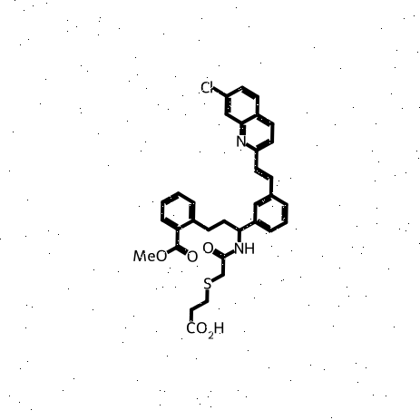 COC(=O)c1ccccc1CCC(NC(=O)CSCCC(=O)O)c1cccc(/C=C/c2ccc3ccc(Cl)cc3n2)c1